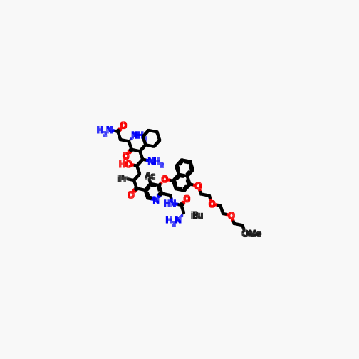 CC[C@H](C)[C@H](N)C(=O)NCc1ncc(C(=O)C(CC(O)C(N)C(C(=O)[C@@H](N)CC(N)=O)C2CCCCC2)C(C)C)c(C(C)=O)c1Oc1ccc(OCCOCCOCCOC)c2ccccc12